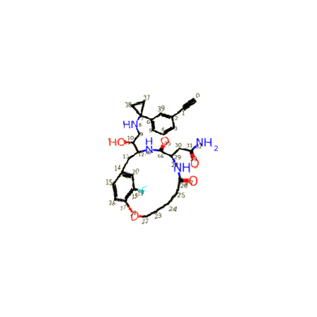 C#Cc1cccc(C2(NCC(O)C3Cc4ccc(c(F)c4)OCCCCC(=O)NC(CC(N)=O)C(=O)N3)CC2)c1